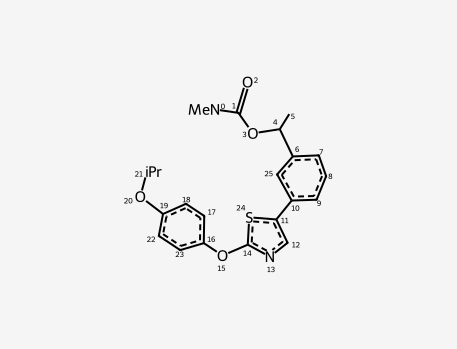 CNC(=O)OC(C)c1cccc(-c2cnc(Oc3ccc(OC(C)C)cc3)s2)c1